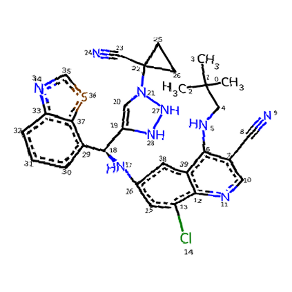 CC(C)(C)CNc1c(C#N)cnc2c(Cl)cc(N[C@H](C3=CN(C4(C#N)CC4)NN3)c3cccc4ncsc34)cc12